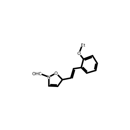 CCOc1ccccc1C=CC1C=CN(C=O)O1